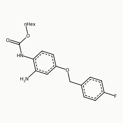 CCCCCCOC(=O)Nc1ccc(OCc2ccc(F)cc2)cc1N